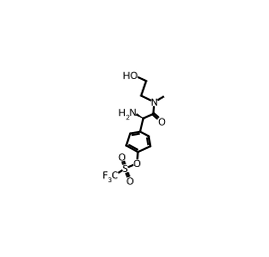 CN(CCO)C(=O)[C@H](N)c1ccc(OS(=O)(=O)C(F)(F)F)cc1